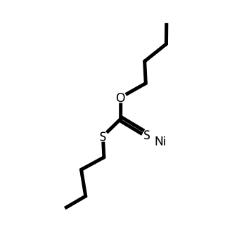 CCCCOC(=S)SCCCC.[Ni]